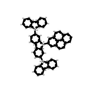 c1cc2ccc3cc(-n4c5cc(-n6c7ccccc7c7ccccc76)ccc5c5ccc(-n6c7ccccc7c7ccccc76)cc54)cc4ccc(c1)c2c34